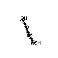 O=C(CSCSCSCSCC[S+]([O-])CSCSCSCSCSC(=O)CSCSCSCSCC[S+]([O-])CCO)SCCO